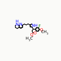 CCOC(=O)CC(c1ccc(OC)c(F)c1)c1cc(CCCc2ccc3c(n2)NCCC3)c[nH]1